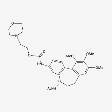 COc1cc2c(c(OC)c1OC)-c1ccc(NC(=O)OCCN3CCOCC3)cc1[C@@H](NC(C)=O)CC2